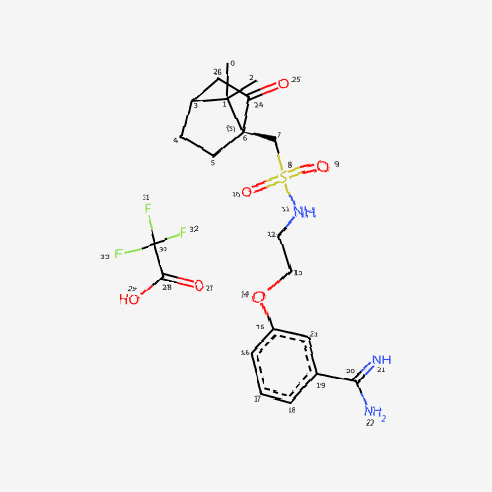 CC1(C)C2CC[C@@]1(CS(=O)(=O)NCCOc1cccc(C(=N)N)c1)C(=O)C2.O=C(O)C(F)(F)F